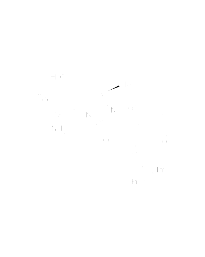 CC1=C[C@H]2CN(C(=O)N2OC(F)(F)C(=O)OC(C(C)C)C(C)C)[C@@H]1C(N)=O